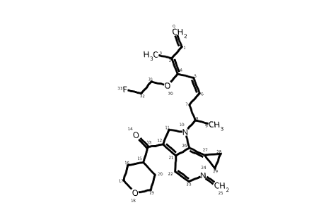 C=C/C(C)=C(\C=C/CC(C)N1CC(C(=O)C2CCOCC2)=C(/C=C\N=C)C1=C1CC1)OCCF